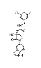 O=C(NCc1cc(F)cc(Cl)c1)OC1(O)CCN(c2cnc3[nH]ccc3c2)C1=O